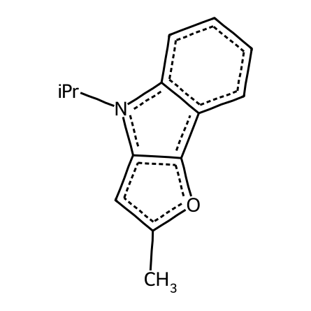 Cc1cc2c(o1)c1ccccc1n2C(C)C